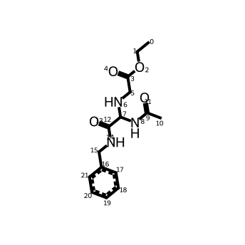 CCOC(=O)CNC(NC(C)=O)C(=O)NCc1ccccc1